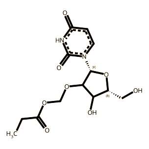 CCC(=O)OCOC1C(O)[C@@H](CO)O[C@H]1n1ccc(=O)[nH]c1=O